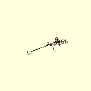 CCCCCCCCCCCCCCCCCC(=O)NCCCCOn1c(CCCC)nc2c(NC(C)(C)C)nc3ccccc3c21